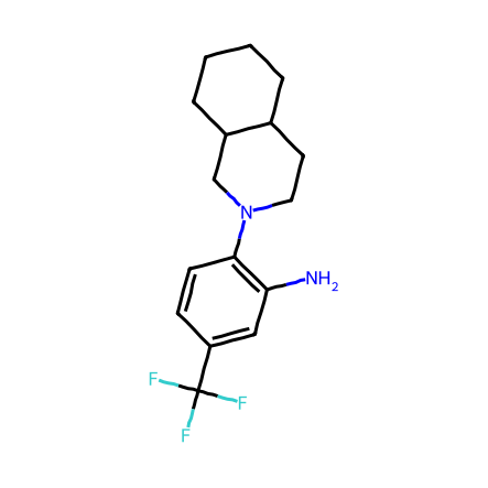 Nc1cc(C(F)(F)F)ccc1N1CCC2CCCCC2C1